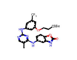 COCCOc1cc(Nc2ncc(C)c(Nc3ccc4oc(=O)[nH]c4c3)n2)cc(C(F)(F)F)c1